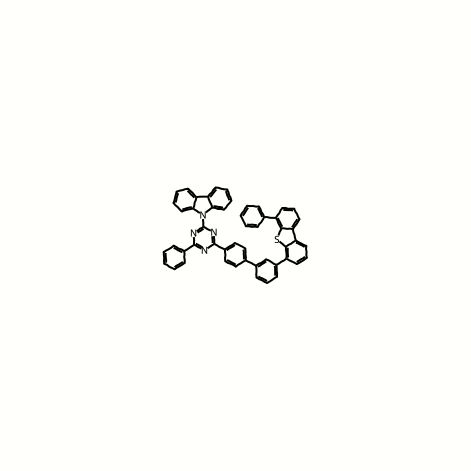 c1ccc(-c2nc(-c3ccc(-c4cccc(-c5cccc6c5sc5c(-c7ccccc7)cccc56)c4)cc3)nc(-n3c4ccccc4c4ccccc43)n2)cc1